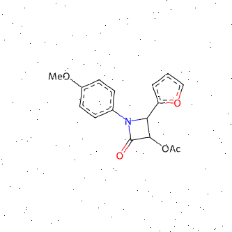 COc1ccc(N2C(=O)C(OC(C)=O)C2c2ccco2)cc1